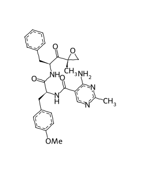 COc1ccc(C[C@H](NC(=O)c2cnc(C)nc2N)C(=O)N[C@@H](Cc2ccccc2)C(=O)[C@@]2(C)CO2)cc1